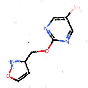 Bc1cnc(OCC2C=CON2)nc1